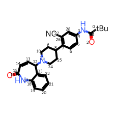 CC(C)(C)C(=O)Nc1ccc(C2CCN(C3C=CC(=O)Nc4ccccc43)CC2)c(C#N)c1